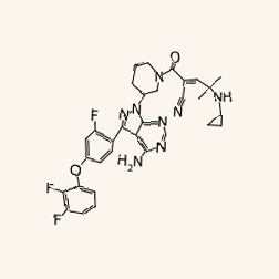 CC(C)(C=C(C#N)C(=O)N1CCCC(n2nc(-c3ccc(Oc4cccc(F)c4F)cc3F)c3c(N)ncnc32)C1)NC1CC1